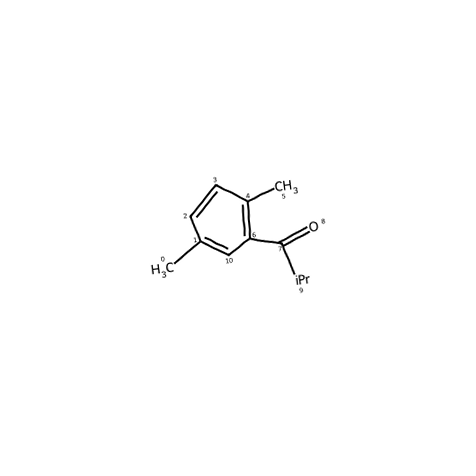 Cc1ccc(C)c(C(=O)C(C)C)c1